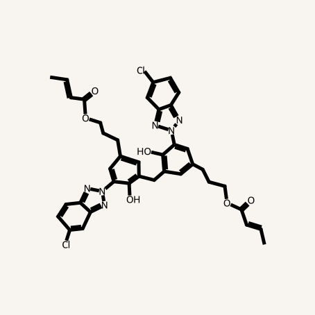 CC=CC(=O)OCCCc1cc(Cc2cc(CCCOC(=O)C=CC)cc(-n3nc4ccc(Cl)cc4n3)c2O)c(O)c(-n2nc3ccc(Cl)cc3n2)c1